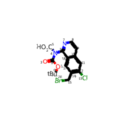 CC(C)(C)OC(=O)N(C(=O)O)c1nccc2cc(Cl)c(CBr)cc12